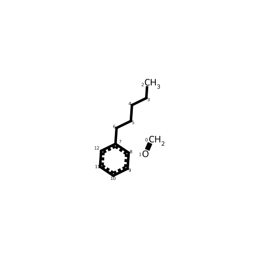 C=O.CCCCCc1ccccc1